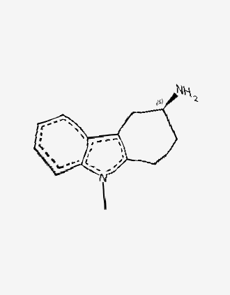 Cn1c2c(c3ccccc31)C[C@@H](N)CC2